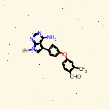 CC(C)n1cc(-c2ccc(Oc3ccc(C=O)c(C(F)(F)F)c3)cc2)c2c(N)ncnc21